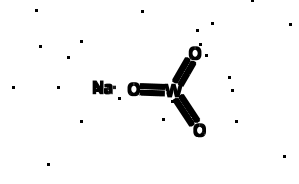 [Na].[O]=[W](=[O])=[O]